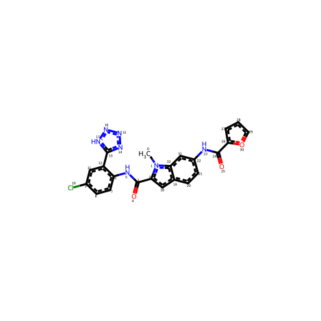 Cn1c(C(=O)Nc2ccc(Cl)cc2-c2nnn[nH]2)cc2ccc(NC(=O)c3ccco3)cc21